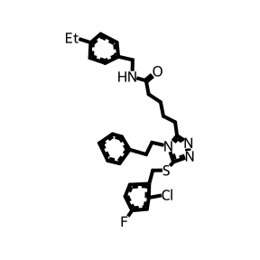 CCc1ccc(CNC(=O)CCCCc2nnc(SCc3ccc(F)cc3Cl)n2CCc2ccccc2)cc1